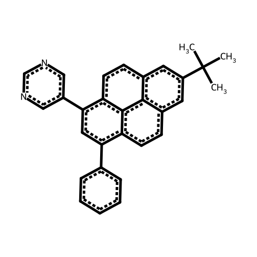 CC(C)(C)c1cc2ccc3c(-c4ccccc4)cc(-c4cncnc4)c4ccc(c1)c2c34